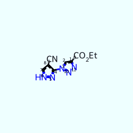 CCOC(=O)c1cn(-c2n[nH]cc2C#N)nn1